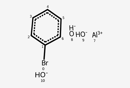 Brc1ccccc1.[Al+3].[OH-].[OH-].[OH-]